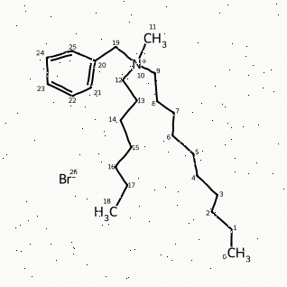 CCCCCCCCCC[N+](C)(CCCCCCC)Cc1ccccc1.[Br-]